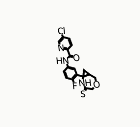 O=C(Nc1ccc(F)c(C23CC2COCC(=S)N3)c1)c1ccc(Cl)cn1